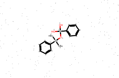 CCCC[Si](CCCC)(O[Si](O)(O)c1ccccc1)c1ccccc1